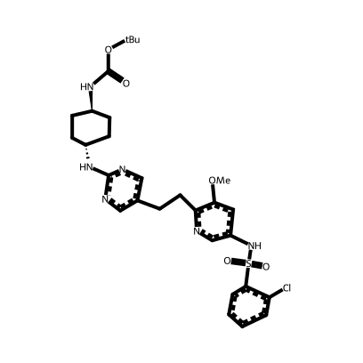 COc1cc(NS(=O)(=O)c2ccccc2Cl)cnc1CCc1cnc(N[C@H]2CC[C@H](NC(=O)OC(C)(C)C)CC2)nc1